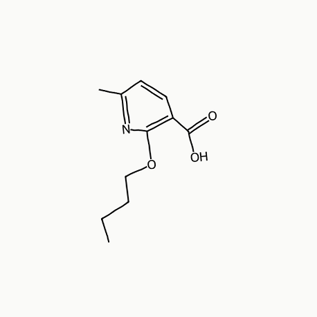 CCCCOc1nc(C)ccc1C(=O)O